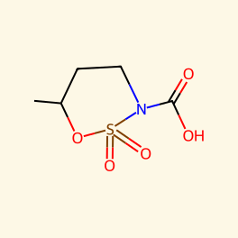 CC1CCN(C(=O)O)S(=O)(=O)O1